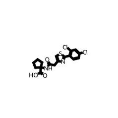 O=C(Cc1csc(-c2ccc(Cl)cc2Cl)n1)NC1(C(=O)O)CCCC1